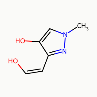 Cn1cc(O)c(/C=C\O)n1